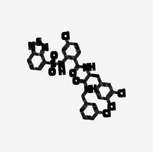 O=C(N[C@@H](Cc1ccc(Cl)c(Cl)c1)C(=O)NCc1cccc(Cl)c1)c1ccc(Cl)cc1NS(=O)(=O)c1cccc2nsnc12